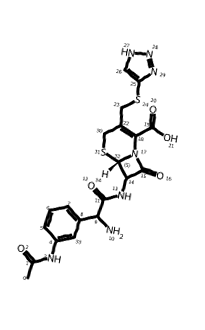 CC(=O)Nc1cccc(C(N)C(=O)NC2C(=O)N3C(C(=O)O)=C(CSc4c[nH]nn4)CS[C@@H]23)c1